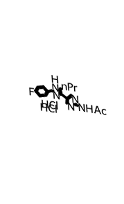 CCCc1[nH]c(-c2ccc(F)cc2)nc1-c1cnc(NC(C)=O)nc1.Cl.Cl